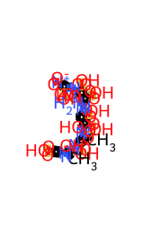 COc1cc(S(=O)(=O)O)c(/N=N/c2c(C)nn(-c3ccc(S(=O)(=O)O)cc3)c2O)cc1N=Nc1c(S(=O)(=O)O)cc2c(S(=O)(=O)O)c(N=Nc3cc(S(=O)(=O)O)c4cc(S(=O)(=O)O)c(N=NC5C=CC([N+](=O)[O-])=CC5S(=O)(=O)O)c(O)c4c3N)ccc2c1O